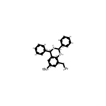 CC(C)Cc1cc(C(C)(C)C)cc2c1OC(c1ccccc1)SC2c1ccccc1